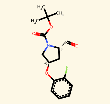 CC(C)(C)OC(=O)N1C[C@H](Oc2ccccc2F)C[C@H]1C=O